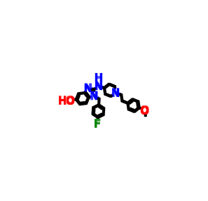 COc1ccc(CCN2CCC(Nc3nc4cc(O)ccc4n3Cc3ccc(F)cc3)CC2)cc1